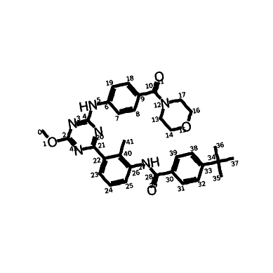 COc1nc(Nc2ccc(C(=O)N3CCOCC3)cc2)nc(-c2cccc(NC(=O)c3ccc(C(C)(C)C)cc3)c2C)n1